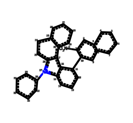 O=[N+]([O-])c1cc2ccccc2cc1-c1cccc2c1c1c3ccccc3ccc1n2-c1ccccc1